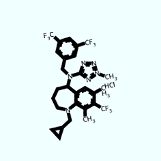 Cc1cc2c(c(C)c1C(F)(F)F)N(CC1CC1)CCCC2N(Cc1cc(C(F)(F)F)cc(C(F)(F)F)c1)c1nnn(C)n1.Cl